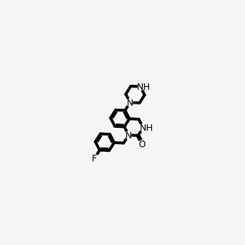 O=C1NCc2c(N3CCNCC3)cccc2N1Cc1cccc(F)c1